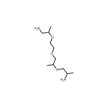 CC(N)COC(C)COCCOC(C)CN